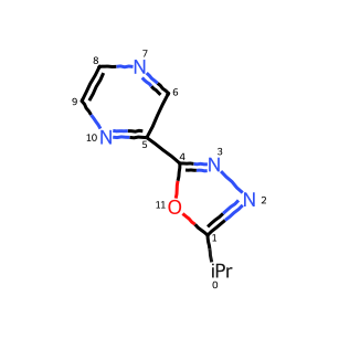 CC(C)c1nnc(-c2cnccn2)o1